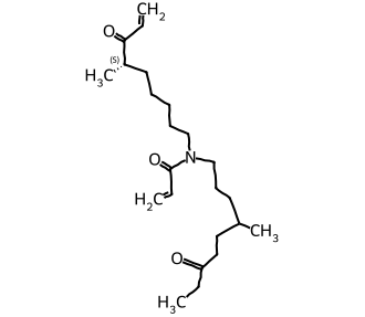 C=CC(=O)[C@@H](C)CCCCCN(CCCC(C)CCC(=O)CC)C(=O)C=C